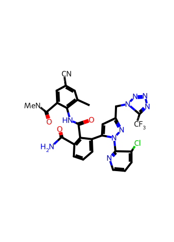 CNC(=O)c1cc(C#N)cc(C)c1NC(=O)c1c(C(N)=O)cccc1-c1cc(Cn2nnnc2C(F)(F)F)nn1-c1ncccc1Cl